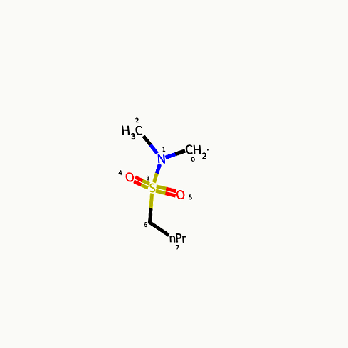 [CH2]N(C)S(=O)(=O)CCCC